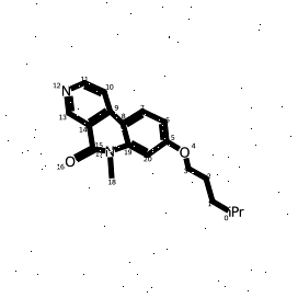 CC(C)CCCOc1ccc2c3ccncc3c(=O)n(C)c2c1